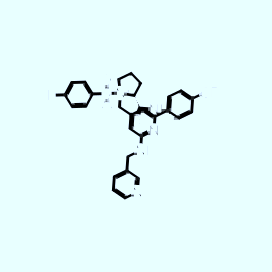 NC(=O)[C@@H]1CCC[N+]1(Cc1cc(NCc2cccnc2)nc(-c2ccc(C(F)(F)F)cc2)c1)S(=O)(=O)c1ccc(F)cc1